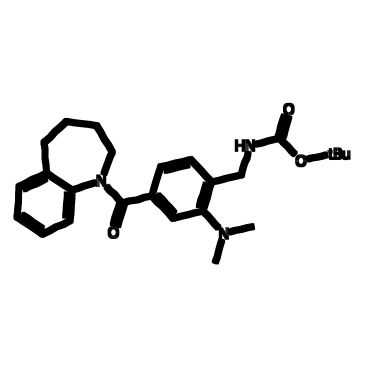 CN(C)c1cc(C(=O)N2CCCCc3ccccc32)ccc1CNC(=O)OC(C)(C)C